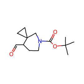 CC(C)(C)OC(=O)N1CCC(C=O)C2(CC2)C1